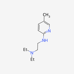 CCN(CC)CCNc1ccc(C)cn1